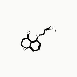 C=CCOc1cccc2c1C(=O)CCO2